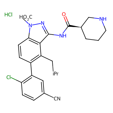 CC(C)Cc1c(-c2cc(C#N)ccc2Cl)ccc2c1c(NC(=O)[C@@H]1CCCNC1)nn2C(=O)O.Cl